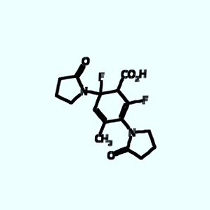 CC1=CC(F)(N2CCCC2=O)C(C(=O)O)C(F)=C1N1CCCC1=O